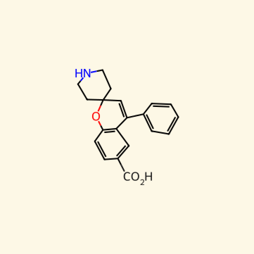 O=C(O)c1ccc2c(c1)C(c1ccccc1)=CC1(CCNCC1)O2